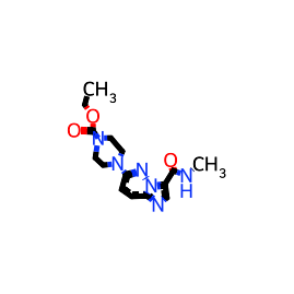 CCOC(=O)N1CCN(c2ccc3ncc(C(=O)NC)n3n2)CC1